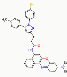 CC[N+](CC)=c1ccc2nc3c(cc(NC(=O)CCc4cc(-c5ccc(C)cc5)n(-c5ccc(S)cc5)n4)c4ccccc43)oc-2c1